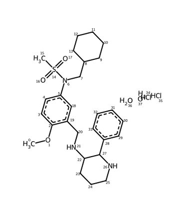 COc1ccc(N(CC2CCCCC2)S(C)(=O)=O)cc1CNC1CCCNC1c1ccccc1.Cl.Cl.O.O